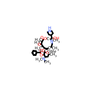 CO[C@]1(C)C[C@@H](C)CN(C)[C@@H]([C@H](O)C2CCNCC2)COC(=O)C(C)(C)C(=O)[C@H](C)[C@H]1O[C@@H]1O[C@H](C)C[C@H](N(C)C)[C@H]1OC(=O)c1ccccc1